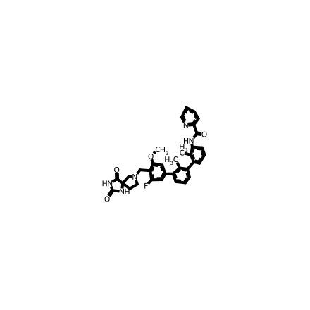 COc1cc(-c2cccc(-c3cccc(NC(=O)c4ccccn4)c3C)c2C)cc(F)c1CN1CCC2(C1)NC(=O)NC2=O